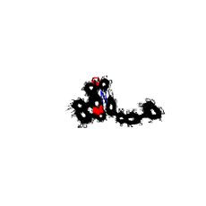 c1ccc(-c2ccc3ccc(-c4ccc(N(c5ccc(-c6cccc7cccc(-c8ccccc8)c67)cc5)c5cccc6oc7ccccc7c56)cc4)cc3c2)cc1